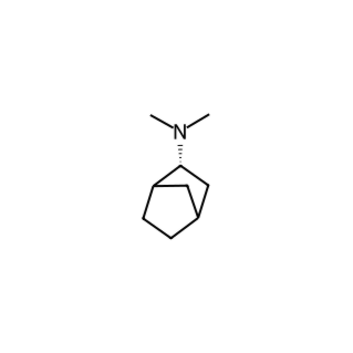 CN(C)[C@@H]1CC2CCC1C2